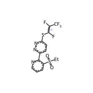 CCS(=O)(=O)c1cccnc1-c1ccc(S/C(F)=C(\F)C(F)(F)F)nn1